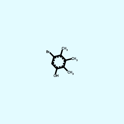 Cc1c(O)cc(Br)c(C)c1C